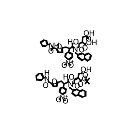 CC(C(Cc1ccc(C(=O)Nc2ccccc2)o1)c1ccc([N+](=O)[O-])cc1)N(Cc1ccc2ccccc2c1)C(=O)C(O)=C(CC(=O)O)C(=O)OC(C)(C)C.CC(C(Cc1ccc(C(=O)Nc2ccccc2)o1)c1ccc([N+](=O)[O-])cc1)N(Cc1ccc2ccccc2c1)C(=O)C(O)C(CC(=O)O)C(=O)O